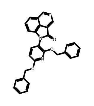 O=C1c2cncc3cccc(c23)N1c1ccc(OCc2ccccc2)nc1OCc1ccccc1